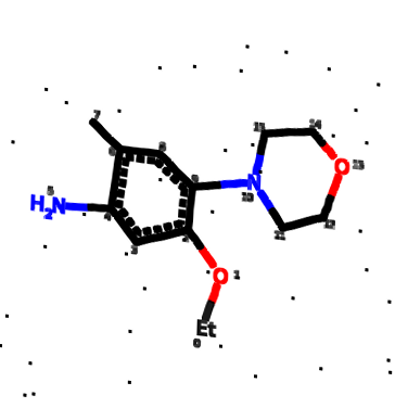 CCOc1cc(N)c(C)cc1N1CCOCC1